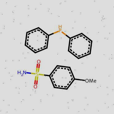 COc1ccc(S(N)(=O)=O)cc1.c1ccc(Pc2ccccc2)cc1